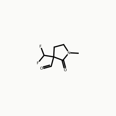 CN1CCC(C=O)(C(F)F)C1=O